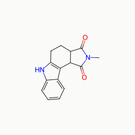 CN1C(=O)C2CCc3[nH]c4ccccc4c3C2C1=O